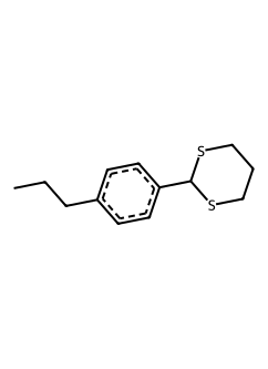 CCCc1ccc(C2SCCCS2)cc1